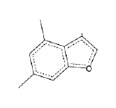 Cc1cc(C)c2[c]coc2c1